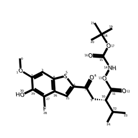 COc1cc2sc(C(=O)C[C@H](C(=O)ONC(=O)OC(C)(C)C)C(C)C)cc2c(F)c1O